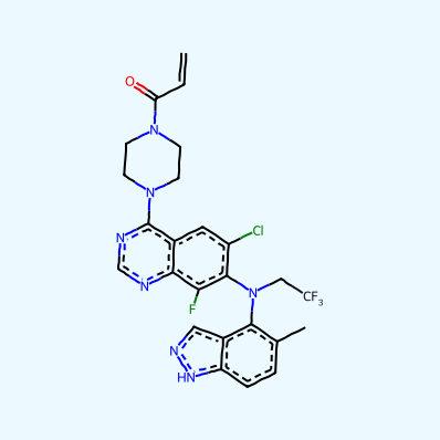 C=CC(=O)N1CCN(c2ncnc3c(F)c(N(CC(F)(F)F)c4c(C)ccc5[nH]ncc45)c(Cl)cc23)CC1